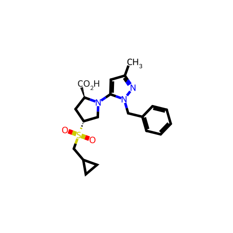 Cc1cc(N2C[C@H](S(=O)(=O)CC3CC3)C[C@H]2C(=O)O)n(Cc2ccccc2)n1